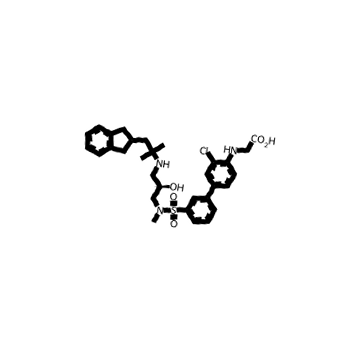 CN(C[C@H](O)CNC(C)(C)CC1Cc2ccccc2C1)S(=O)(=O)c1cccc(-c2ccc(NCC(=O)O)c(Cl)c2)c1